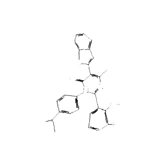 Cc1nc(-c2cccc(F)c2O)n(-c2ccc(C(C)C)cc2)c(=O)c1-c1cc2ccccc2s1